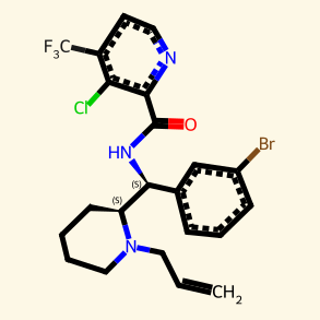 C=CCN1CCCC[C@H]1[C@@H](NC(=O)c1nccc(C(F)(F)F)c1Cl)c1cccc(Br)c1